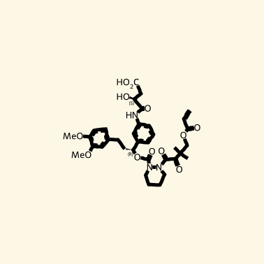 C=CC(=O)OCC(C)(C)C(=O)C(=O)N1CCCCN1C(=O)O[C@H](CCc1ccc(OC)c(OC)c1)c1cccc(NC(=O)[C@@H](O)CC(=O)O)c1